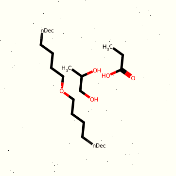 CC(O)CO.CCC(=O)O.CCCCCCCCCCCCCCOCCCCCCCCCCCCCC